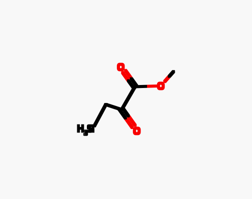 COC(=O)C(=O)C[SiH3]